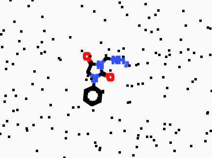 NCN1C(=O)CN(c2ccccc2)C1=O